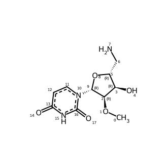 CO[C@@H]1[C@H](O)[C@@H](CN)O[C@H]1n1ccc(=O)[nH]c1=O